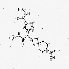 CNC(=O)c1cc(N(C(=O)OC)C2CC3(CCN(C(=O)O)CC3)C2)on1